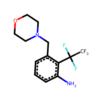 Nc1cccc(CN2CCOCC2)c1C(F)(F)C(F)(F)F